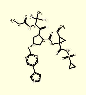 C=CC1C[C@]1(NC(=O)[C@@H]1C[C@@H](Oc2ncc(-c3ccsc3)cn2)CN1C(=O)[C@@H](NC(=O)OC)C(C)(C)C)C(=O)NS(=O)(=O)C1CC1